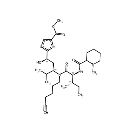 C#CCCCCN(C(=O)[C@@H](NC(=O)C1CCCCN1C)[C@@H](C)CC)[C@H](C[C@@H](O)c1nc(C(=O)OC)cs1)C(C)C